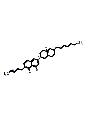 C/C=C/CCc1ccc2cc([C@@H]3CC[C@@H]4CC(CCCCCCC)CCC4C3)cc(F)c2c1F